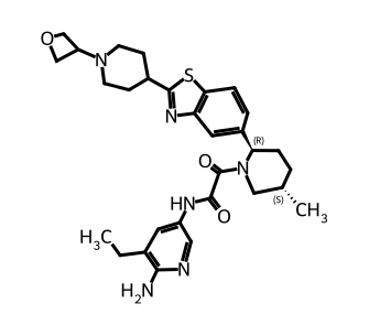 CCc1cc(NC(=O)C(=O)N2C[C@@H](C)CC[C@@H]2c2ccc3sc(C4CCN(C5COC5)CC4)nc3c2)cnc1N